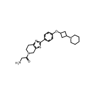 NCC(=O)N1CCc2nc(-c3ccc(OC4CC(N5CCCCC5)C4)cc3)sc2C1